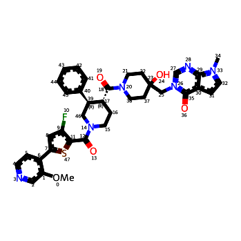 COc1cnccc1-c1cc(F)c(C(=O)N2CC[C@@H](C(=O)N3CCC(O)(Cn4cnc5c(ccn5C)c4=O)CC3)[C@H](c3ccccc3)C2)s1